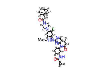 COc1cc(N2CCN(C(=O)CC34CC5CC(CC(C5)C3)C4)CC2)c(F)cc1Nc1ncc2c(C)cc(=O)n(-c3cccc(NC(=O)C4CC4)c3)c2n1